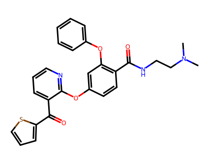 CN(C)CCNC(=O)c1ccc(Oc2ncccc2C(=O)c2cccs2)cc1Oc1ccccc1